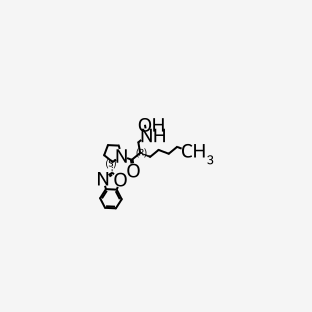 CCCCC[C@H](CNO)C(=O)N1CCC[C@H]1c1nc2ccccc2o1